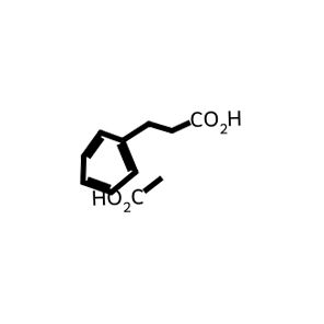 CC(=O)O.O=C(O)CCc1ccccc1